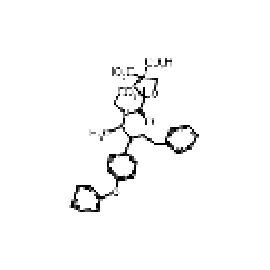 CC(C(CCc1ccccc1)c1ccc(Oc2ccccc2)cc1)N(CC(=O)O)C(=O)C1CC(C(=O)O)(C(=O)O)CO1